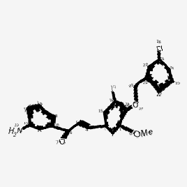 COc1cc(/C=C/C(=O)c2cccc(N)c2)cc(I)c1OCc1cccc(Cl)c1